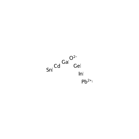 [Cd].[Ga].[Ge].[In].[O-2].[Pb+2].[Sn]